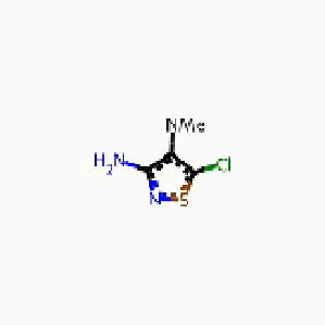 CNc1c(N)nsc1Cl